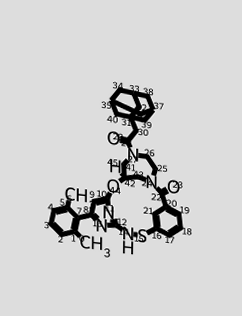 Cc1cccc(C)c1-c1cc2nc(n1)NSc1cccc(c1)C(=O)N1CCN(C(=O)CC34CC5CC(CC(C5)C3)C4)C[C@H](C1)O2